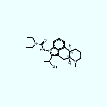 CCN(CC)C(=O)Nn1c(C(C)O)c2c3c(cccc31)[C@H]1CCCN(C)[C@@H]1C2